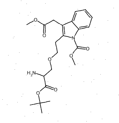 COC(=O)Cc1c(CCOCC(N)C(=O)OC(C)(C)C)n(C(=O)OC)c2ccccc12